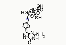 Nc1nc2c(ncn2[C@H]2CC[C@@H](/C=C/P(=O)(O)OP(=O)(O)OP(=O)(O)O)O2)c(=O)[nH]1